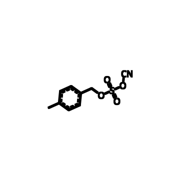 Cc1ccc(COS(=O)(=O)OC#N)cc1